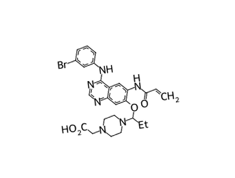 C=CC(=O)Nc1cc2c(Nc3cccc(Br)c3)ncnc2cc1OC(CC)N1CCN(CC(=O)O)CC1